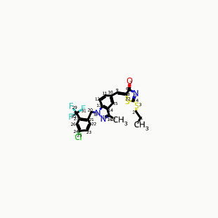 CCCSC1=NC(=O)C(=Cc2ccc3c(c2)c(C)nn3Cc2ccc(Cl)cc2C(F)(F)F)S1